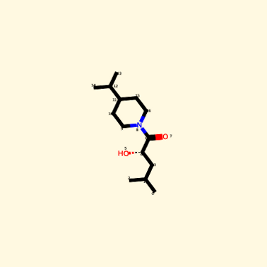 CC(C)C[C@H](O)C(=O)N1CCC(C(C)C)CC1